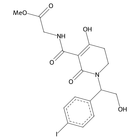 COC(=O)CNC(=O)C1=C(O)CCN(C(CO)c2ccc(I)cc2)C1=O